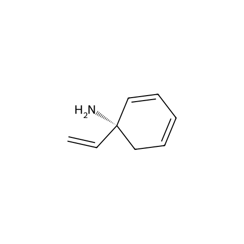 C=C[C@@]1(N)C=CC=CC1